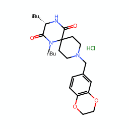 CCCCN1C(=O)[C@H](C(C)CC)NC(=O)C12CCN(Cc1ccc3c(c1)OCCO3)CC2.Cl